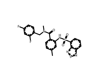 Cc1ccc(C(=O)N(C)Cc2ccc(F)cc2F)c(NS(=O)(=O)c2cccc3nsnc23)c1